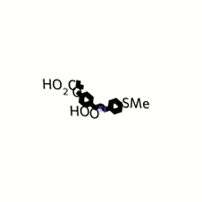 CSc1ccc(/C=C/C(=O)c2ccc(OC(C)(C)C(=O)O)cc2O)cc1